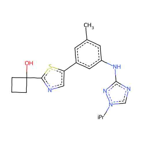 Cc1cc(Nc2ncn(C(C)C)n2)cc(-c2cnc(C3(O)CCC3)s2)c1